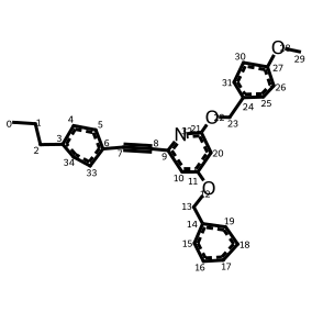 CCCc1ccc(C#Cc2cc(OCc3ccccc3)cc(OCc3ccc(OC)cc3)n2)cc1